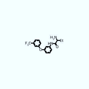 CCC(N)C(=O)Nc1cccc(Oc2cccc(C(F)(F)F)c2)c1